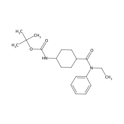 CCN(C(=O)[C]1CCC(NC(=O)OC(C)(C)C)CC1)c1ccccc1